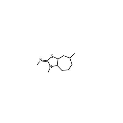 C/N=C1/SC2CC(C)CCCC2N1C